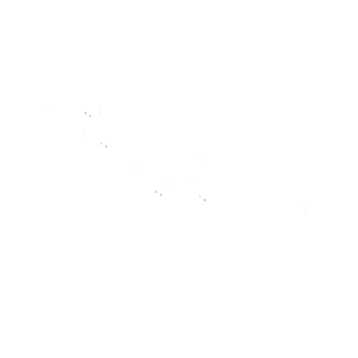 COc1ccc(CNC(=O)C2=NOC3(CCN(C(=S)Nc4ccccc4Cl)CC3)C2)cc1OC